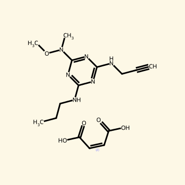 C#CCNc1nc(NCCC)nc(N(C)OC)n1.O=C(O)/C=C\C(=O)O